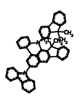 CC1(C)c2ccccc2-c2ccc(N(c3ccccc3-c3cccc(-n4c5ccccc5c5ccccc54)c3)c3cccc4c3C(C)(C)c3ccccc3-4)cc21